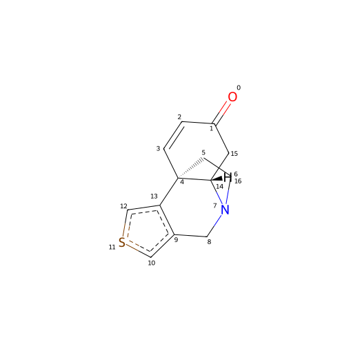 O=C1C=C[C@]23CCN(Cc4cscc42)[C@H]3C1